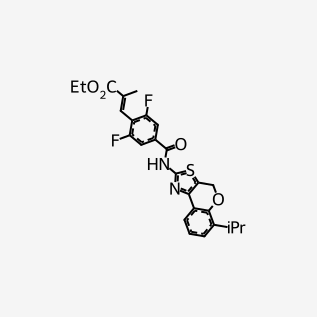 CCOC(=O)C(C)=Cc1c(F)cc(C(=O)Nc2nc3c(s2)COc2c-3cccc2C(C)C)cc1F